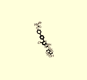 CC(C)NC(=O)OC1CCC(c2ccc(-c3nc4[nH]c(O[C@@H]5CO[C@H]6[C@@H]5OC[C@H]6O)nc4cc3Cl)cc2)CC1